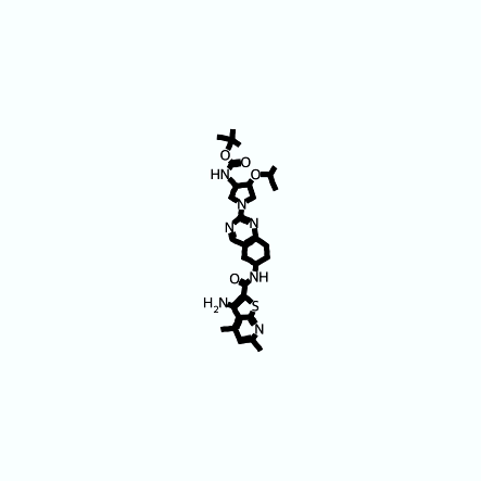 Cc1cc(C)c2c(N)c(C(=O)NC3CCc4nc(N5CC(NC(=O)OC(C)(C)C)C(OC(C)C)C5)ncc4C3)sc2n1